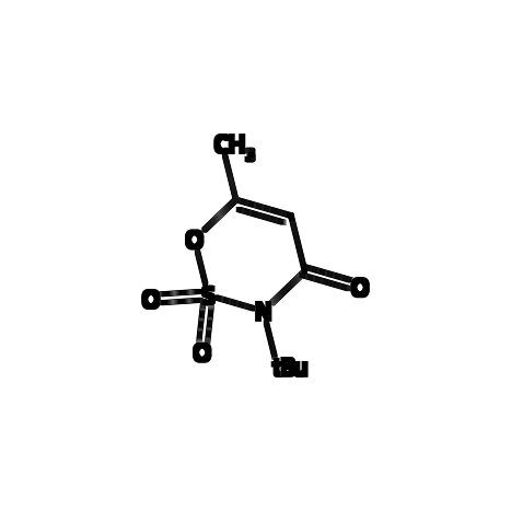 CC1=CC(=O)N(C(C)(C)C)S(=O)(=O)O1